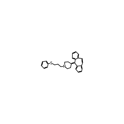 C1=Cc2ccccc2C(=C2CCN(CCCSc3ccccc3)CC2)c2ccccc21